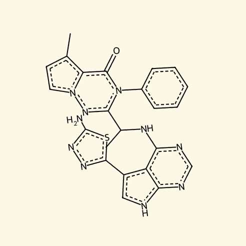 Cc1ccn2nc(C(C)Nc3ncnc4[nH]cc(-c5nnc(N)s5)c34)n(-c3ccccc3)c(=O)c12